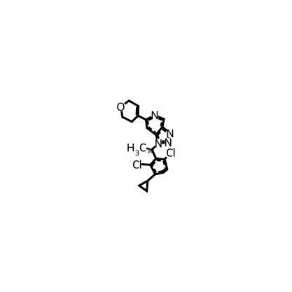 C[C@H](c1c(Cl)ccc(C2CC2)c1Cl)n1nnc2cnc(C3=CCOCC3)cc21